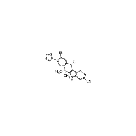 CCc1cc2c(cc1-c1cccs1)C(C)(C)c1[nH]c3cc(C#N)ccc3c1C2=O